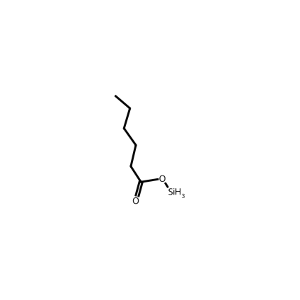 CCCCCC(=O)O[SiH3]